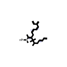 C=C/C=C/CC(C)C(C)(C)/C(C/C=C\C=C/C(=C)C=C)=C(/C)N(C)CCC